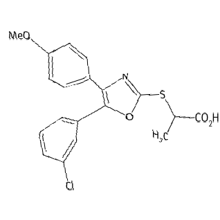 COc1ccc(-c2nc(SC(C)C(=O)O)oc2-c2cccc(Cl)c2)cc1